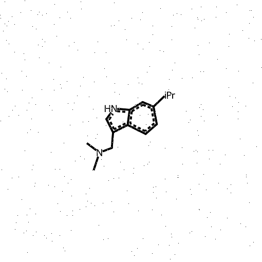 CC(C)c1ccc2c(CN(C)C)c[nH]c2c1